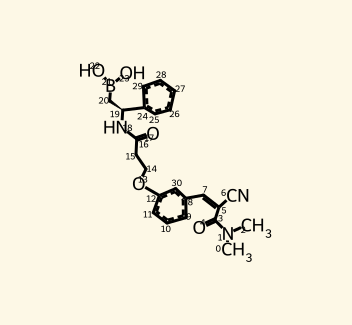 CN(C)C(=O)C(C#N)=Cc1cccc(OCCC(=O)N[C@@H](CB(O)O)c2ccccc2)c1